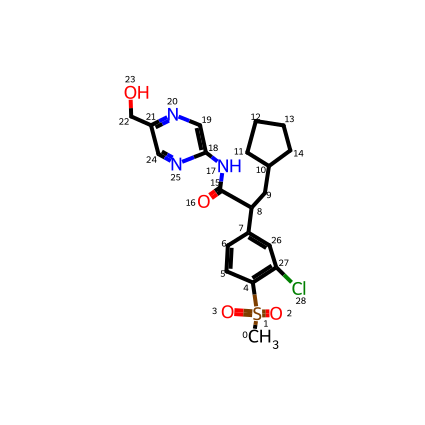 CS(=O)(=O)c1ccc(C(CC2CCCC2)C(=O)Nc2cnc(CO)cn2)cc1Cl